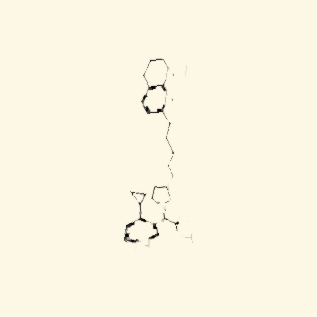 O=C(O)[C@@H](c1cnccc1C1CC1)N1CC[C@@H](CCCCCc2ccc3c(n2)NCCC3)C1